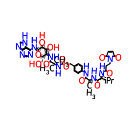 CC(C)[C@H](NC(=O)CCN1C(=O)C=CC1=O)C(=O)N[C@@H](C)C(=O)Nc1ccc(COC(=O)NC(C)(C)C(=O)N[C@@H]2[C@@H](O)[C@H](O)[C@@H](Nc3ncnc4nc[nH]c34)O[C@H]2CO)cc1